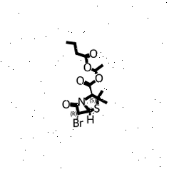 CCCC(=O)OC(C)OC(=O)[C@@H]1N2C(=O)[C@@H](Br)[C@H]2SC1(C)C